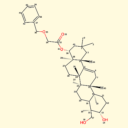 CC1(C)C[C@@H]2C3=CC[C@@H]4[C@@]5(C)CC[C@H](O)[C@@](C)(CO)C5CC[C@@]4(C)[C@]3(C)CC[C@@]2(C)[C@H](OC(=O)COCc2ccccc2)C1